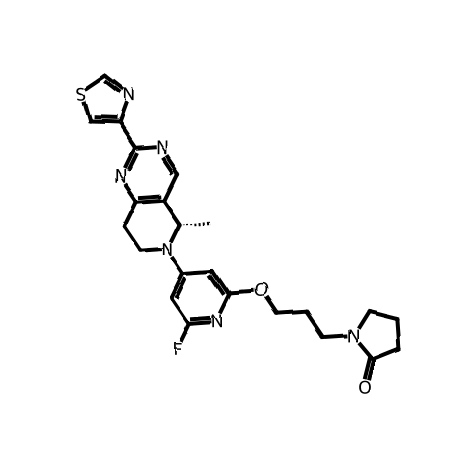 C[C@H]1c2cnc(-c3cscn3)nc2CCN1c1cc(F)nc(OCCCN2CCCC2=O)c1